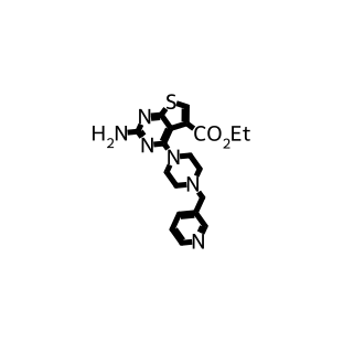 CCOC(=O)c1csc2nc(N)nc(N3CCN(Cc4cccnc4)CC3)c12